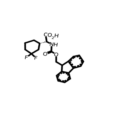 O=C(NC(C(=O)O)[C@H]1CCCC(F)(F)C1)OCC1c2ccccc2-c2ccccc21